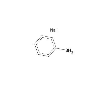 Bc1cc[c]cc1.[NaH]